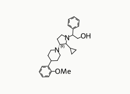 COc1ccccc1C1CCN([C@@H]2CCN(C(CO)c3ccccc3)C2C2CC2)CC1